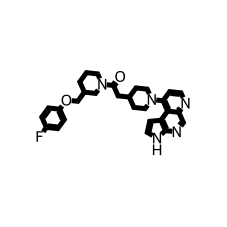 O=C(CC1CCN(c2ccnc3cnc4[nH]ccc4c23)CC1)N1CCCC(COc2ccc(F)cc2)C1